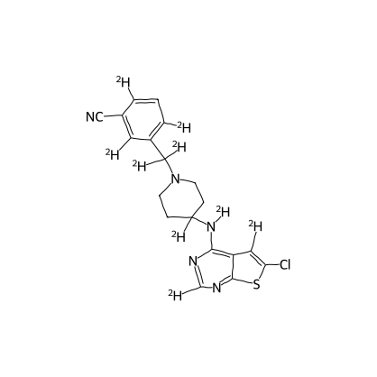 [2H]c1nc(N([2H])C2([2H])CCN(C([2H])([2H])c3c([2H])cc([2H])c(C#N)c3[2H])CC2)c2c([2H])c(Cl)sc2n1